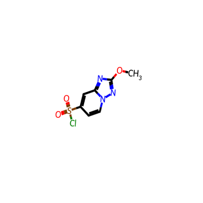 COc1nc2cc(S(=O)(=O)Cl)ccn2n1